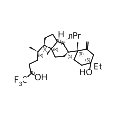 C=C1C[C@](O)(CC)CC[C@]1(C)[C@H]1CC[C@]2(C)[C@@H]([C@H](C)CC[C@@H](O)C(F)(F)F)CC[C@H]2[C@@H]1CCC